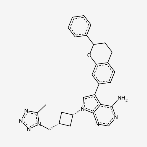 Cc1nnnn1C[C@H]1C[C@@H](n2cc(-c3ccc4c(c3)OC(c3ccccc3)CC4)c3c(N)ncnc32)C1